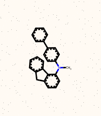 CN(c1ccc(-c2ccccc2)cc1)c1cccc2c1-c1ccccc1C2